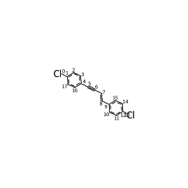 Clc1ccc(C#CC=Cc2ccc(Cl)cc2)cc1